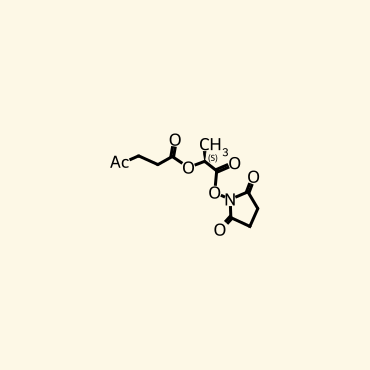 CC(=O)CCC(=O)O[C@@H](C)C(=O)ON1C(=O)CCC1=O